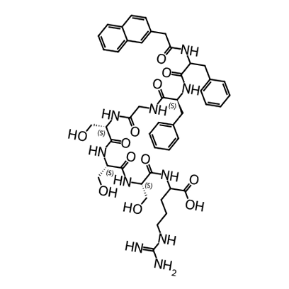 N=C(N)NCCCC(NC(=O)[C@H](CO)NC(=O)[C@H](CO)NC(=O)[C@H](CO)NC(=O)CNC(=O)[C@H](Cc1ccccc1)NC(=O)C(Cc1ccccc1)NC(=O)Cc1ccc2ccccc2c1)C(=O)O